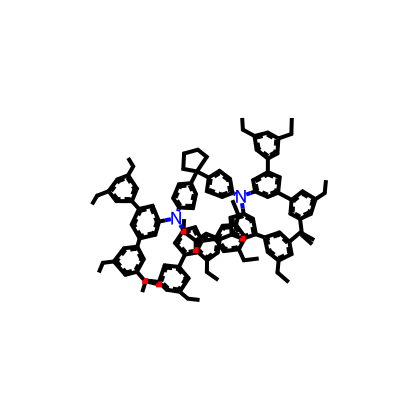 CCc1cc(CC)cc(-c2cc(-c3cc(CC)cc(CC)c3)cc(N(c3ccc(C4(c5ccc(N(c6cc(-c7cc(CC)cc(CC)c7)cc(-c7cc(CC)cc(CC)c7)c6)c6cc(-c7cc(CC)cc(CC)c7)cc(-c7cc(CC)cc(CC)c7)c6)cc5)CCCC4)cc3)c3cc(-c4cc(CC)cc(CC)c4)cc(-c4cc(CC)cc(CC)c4)c3)c2)c1